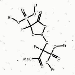 CCOP(=O)(OCC)C(F)(OB1OC(=O)C(F)(P(=O)(OCC)OCC)O1)C(=O)OC